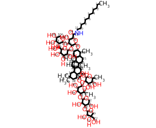 CCCCCCCCCCCCNC(=O)C1OC(O[C@H]2CC[C@@]3(C)C(CC[C@]4(C)C3CC=C3C5CC(C)(C)CC[C@]5(C(=O)OC5OC(C)C(O)C(O)C5OC5OC(C)C(OC6OC[C@H](O)C(OC7OCC(O)(CO)C7O)C6O)C(O)C5O)[C@H](O)C[C@]34C)[C@H]2C)C(OC2OC(CO)C(O)C(O)C2O)C(OC2OCC(O)C(O)C2O)C1O